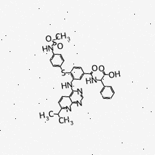 CC(C)c1ccc2c(Nc3cc(C(=O)NC(C(=O)O)c4ccccc4)ccc3Sc3ccc(NS(C)(=O)=O)cc3)ncnc2n1